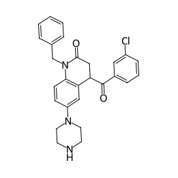 O=C(c1cccc(Cl)c1)C1CC(=O)N(Cc2ccccc2)c2ccc(N3CCNCC3)cc21